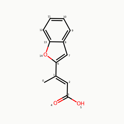 CC(=CC(=O)O)c1cc2ccccc2o1